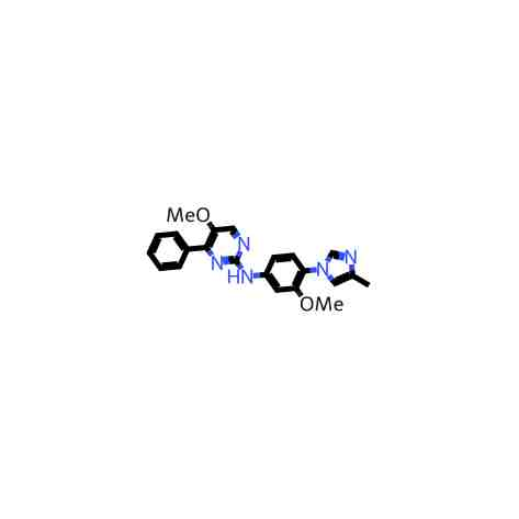 COc1cc(Nc2ncc(OC)c(-c3ccccc3)n2)ccc1-n1cnc(C)c1